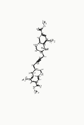 COC(=O)c1cc(N)c2c(c1)OC[C@H](CC#CC[C@H]1COc3cc(C(=O)OC)cc(N)c3N1)N2